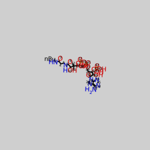 CCCCNC(=O)CCNC(=O)C(O)C(C)(C)COP(=O)(O)OP(=O)(O)OCC1OC(n2cnc3c(N)ncnc32)C(O)C1OP(=O)(O)O